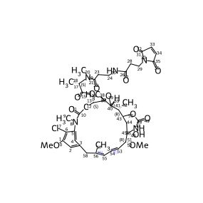 COc1cc2cc(c1Cl)N(C)C(=O)C[C@H](OC(=O)[C@H](C)N(C)C(=O)CCNC(=O)CCN1C(=O)C=CC1=O)[C@]1(C)O[C@@H]1[C@H](C)C1C[C@@](O)(NC(=O)O1)[C@H](OC)/C=C/C=C(\C)C2